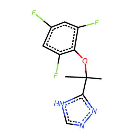 CC(C)(Oc1c(F)cc(F)cc1F)c1nnc[nH]1